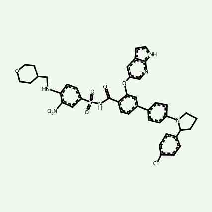 O=C(NS(=O)(=O)c1ccc(NCC2CCOCC2)c([N+](=O)[O-])c1)c1ccc(-c2ccc(N3CCCC3c3ccc(Cl)cc3)cc2)cc1Oc1cnc2[nH]ccc2c1